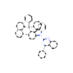 C1=C=C(C2(c3ccccc3)c3cccc4cccc(c34)-c3ccc4c(c5c(n4-c4nc(-c6ccccc6)c6ccccc6n4)C=CCC5)c32)C=CC=1